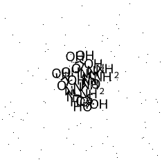 Nc1nc2c(ncn2[C@@H]2O[C@H](CO)[C@@H](O)[C@H]2O)c(=O)[nH]1.Nc1nc2c(ncn2[C@@H]2O[C@H](CO)[C@@H](O)[C@H]2O)c(=O)[nH]1.OP(O)(O)=S